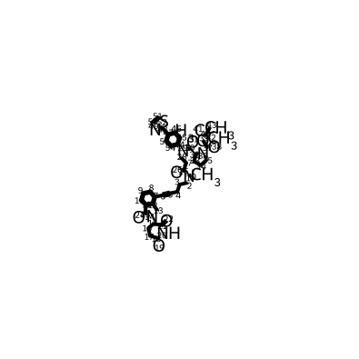 CN(CCCC#Cc1cccc2c1CN(C1CCC(=O)NC1=O)C2=O)C(=O)CCN(C(=O)[C@@H]1CCCN1C(=O)OC(C)(C)C)c1ccc(-c2nccs2)cc1